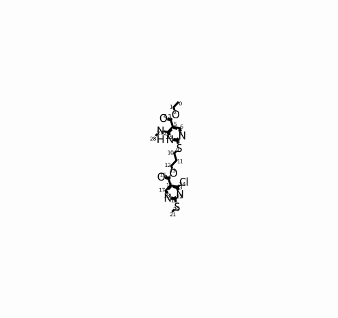 CCOC(=O)c1cnc(SCCCOC(=O)c2cnc(SC)nc2Cl)nc1NC